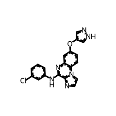 Clc1cccc(Nc2nc3cc(Oc4cn[nH]c4)ccc3n3ccnc23)c1